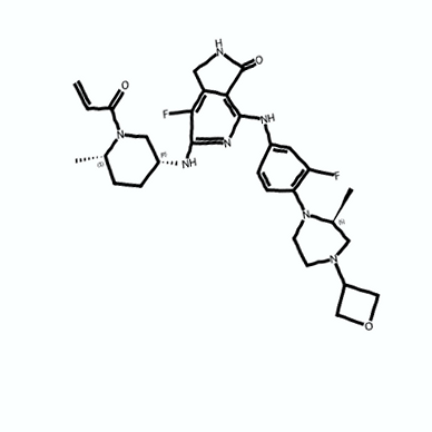 C=CC(=O)N1C[C@H](Nc2nc(Nc3ccc(N4CCN(C5COC5)C[C@@H]4C)c(F)c3)c3c(c2F)CNC3=O)CC[C@@H]1C